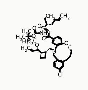 C=CCC[C@@H](CC)S(=O)(=NC(=O)c1ccc2c(c1)N(C[C@@H]1CC[C@H]1[C@H](C=C)OC)Cc1ccc(Cl)cc1CCCCO2)NC(=O)OC(C)(C)C